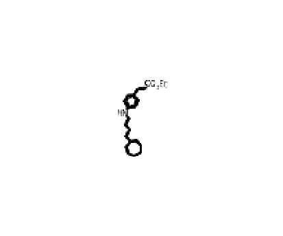 CCOC(=O)C=Cc1ccc(NCCCCC2CCCCCC2)cc1